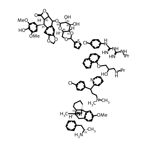 CC(C)NC(=N)NC(=N)Nc1ccc(Cl)cc1.CC(C)NCC(O)COc1cccc2ccccc12.CN(C)CCC(c1ccc(Cl)cc1)c1ccccn1.COc1cc([C@@H]2c3cc4c(cc3C(O[C@@H]3O[C@@H]5COC(c6cccs6)O[C@H]5[C@H](O)[C@H]3O)C3COC(=O)[C@@H]32)OCO4)cc(OC)c1O.COc1ccc2c(c1)[C@]13CCCC[C@@H]1[C@H](C2)N(C)CC3.C[C@H](N)Cc1ccccc1